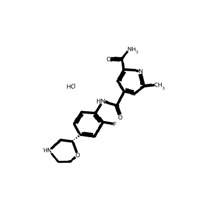 Cc1cc(C(=O)Nc2ccc([C@H]3CNCCO3)cc2F)cc(C(N)=O)n1.Cl